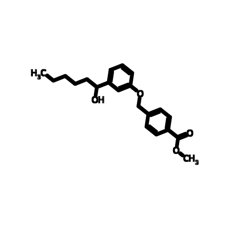 CCCCCC(O)c1cccc(OCc2ccc(C(=O)OC)cc2)c1